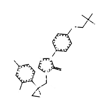 C[C@@H](n1cnn(-c2ccc(OCC(F)(F)F)cc2)c1=O)[C@@]1(c2ccc(F)cc2F)CO1